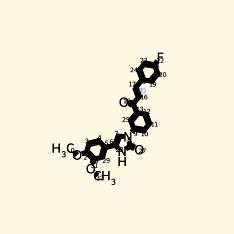 COc1ccc(-c2cn(-c3cccc(C(=O)/C=C/c4ccc(F)cc4)c3)c(=O)[nH]2)cc1OC